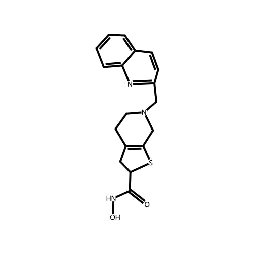 O=C(NO)C1CC2=C(CN(Cc3ccc4ccccc4n3)CC2)S1